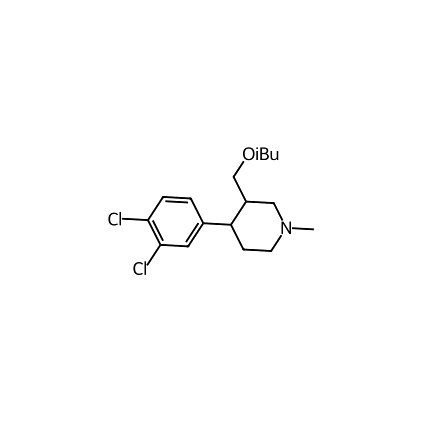 CC(C)COCC1CN(C)CCC1c1ccc(Cl)c(Cl)c1